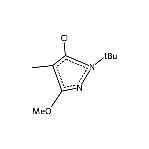 COc1nn(C(C)(C)C)c(Cl)c1C